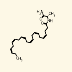 CC/C=C\C/C=C\C/C=C\C/C=C\C/C=C\C/C=C\CCC(=O)N[C@@H](C)C(N)=O